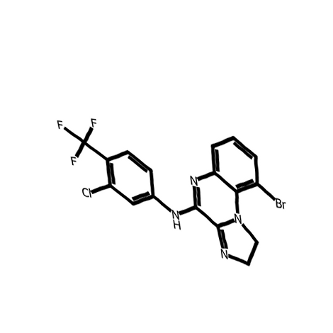 FC(F)(F)c1ccc(NC2=Nc3cccc(Br)c3N3CCN=C23)cc1Cl